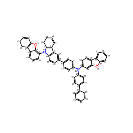 C1=Cc2oc3c(-n4c5c(c6cc(-c7ccc(N(c8ccc(-c9ccccc9)cc8)c8ccc9c(c8)oc8ccccc89)cc7)ccc64)C=CCC5)cccc3c2CC1